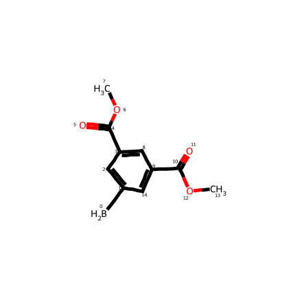 Bc1cc(C(=O)OC)cc(C(=O)OC)c1